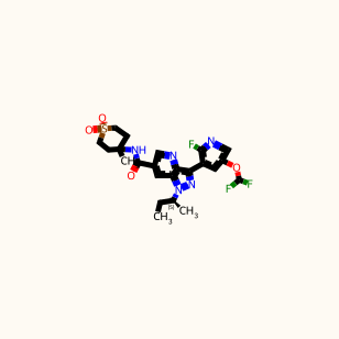 CC[C@H](C)n1nc(-c2cc(OC(F)F)cnc2F)c2ncc(C(=O)NC3(C)CCS(=O)(=O)CC3)cc21